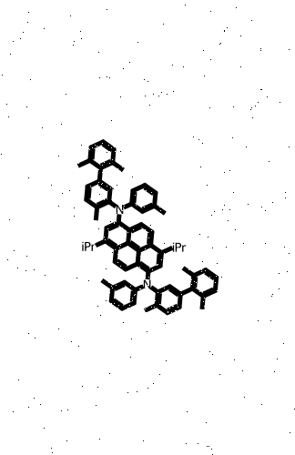 Cc1cccc(N(c2cc(-c3c(C)cccc3C)ccc2C)c2cc(C(C)C)c3ccc4c(N(c5cccc(C)c5)c5cc(-c6c(C)cccc6C)ccc5C)cc(C(C)C)c5ccc2c3c54)c1